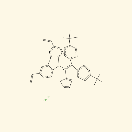 C=Cc1ccc2c(c1)-c1cc(C=C)ccc1[CH]2[Zr+2]([C]1=CC=CC1)=[C](c1ccc(C(C)(C)C)cc1)c1ccc(C(C)(C)C)cc1.[Cl-].[Cl-]